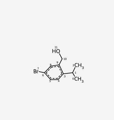 CC(C)c1ccc(Br)cc1CO